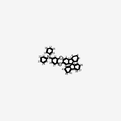 C1=CC2=C(CC1)C1C=C3Oc4cc(N(c5ccccc5)c5ccccc5)ccc4OC3=CC1C21c2ccccc2-c2ccccc21